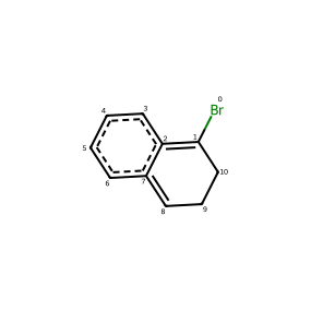 BrC1=c2ccccc2=CCC1